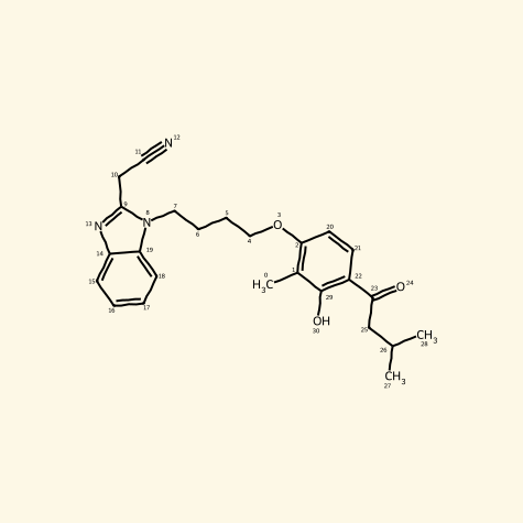 Cc1c(OCCCCn2c(CC#N)nc3ccccc32)ccc(C(=O)CC(C)C)c1O